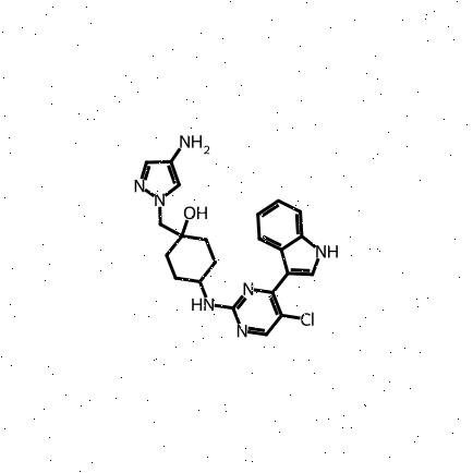 Nc1cnn(CC2(O)CCC(Nc3ncc(Cl)c(-c4c[nH]c5ccccc45)n3)CC2)c1